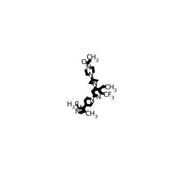 C=CC(=O)N1CCN(C2CN(c3cc(N4CCC(c5c(C)cnn5C)CC4)nc(C(F)(F)F)c3C=C)C2)CC1